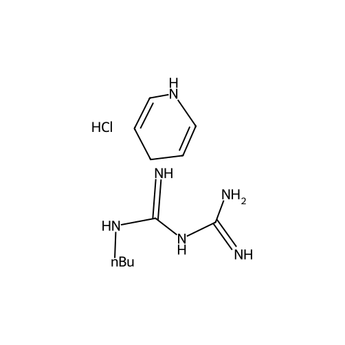 C1=CNC=CC1.CCCCNC(=N)NC(=N)N.Cl